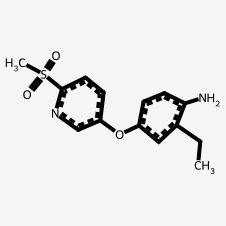 CCc1cc(Oc2ccc(S(C)(=O)=O)nc2)ccc1N